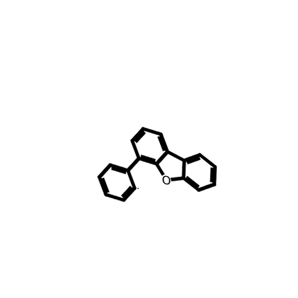 [c]1ccccc1-c1cccc2c1oc1ccccc12